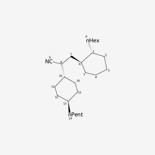 CCCCCC[C@@H]1CCCC[C@H]1CC(C#N)[C@H]1CC[C@H](CCCCC)CC1